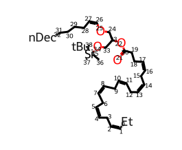 CC/C=C\C/C=C\C/C=C\C/C=C\C/C=C\C/C=C\CCC(=O)OC(CO/C=C\CCCCCCCCCCCCCC)CO[Si](C)(C)C(C)(C)C